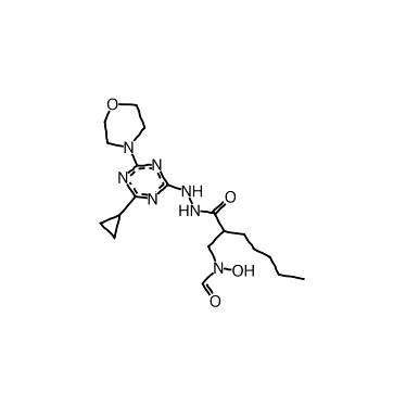 CCCCCC(CN(O)C=O)C(=O)NNc1nc(C2CC2)nc(N2CCOCC2)n1